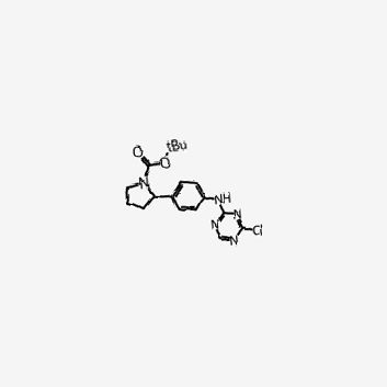 CC(C)(C)OC(=O)N1CCCC1c1ccc(Nc2ncnc(Cl)n2)cc1